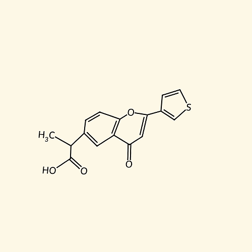 CC(C(=O)O)c1ccc2oc(-c3ccsc3)cc(=O)c2c1